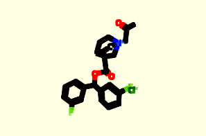 CC(=O)C[N+]12CCC(CC1)C(C(=O)OC(c1cccc(F)c1)c1cccc(F)c1)C2.[Cl-]